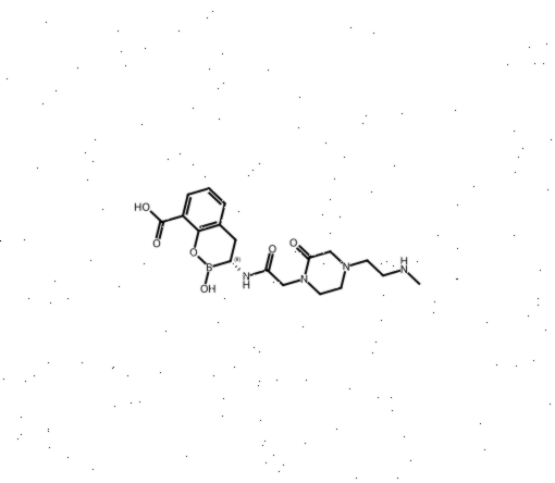 CNCCN1CCN(CC(=O)N[C@H]2Cc3cccc(C(=O)O)c3OB2O)C(=O)C1